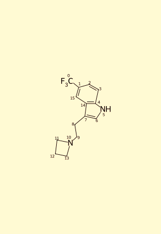 FC(F)(F)c1ccc2[nH]cc(CCN3CCC3)c2c1